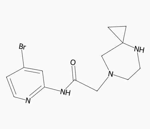 O=C(CN1CCNC2(CC2)C1)Nc1cc(Br)ccn1